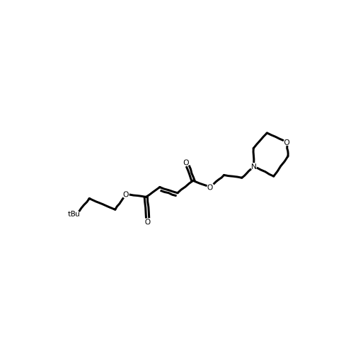 CC(C)(C)CCOC(=O)/C=C/C(=O)OCCN1CCOCC1